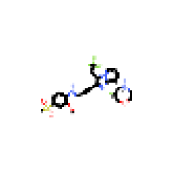 COc1cc(S(C)(=O)=O)ccc1NCC#Cc1nc2c([C@@H]3NCCOC[C@@H]3F)cccn2c1CC(F)(F)F